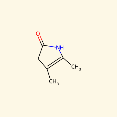 CC1=C(C)NC(=O)C1